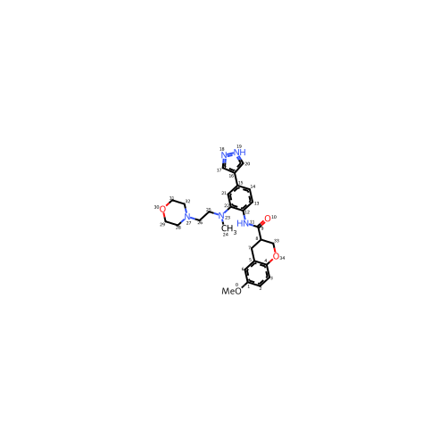 COc1ccc2c(c1)CC(C(=O)Nc1ccc(-c3cn[nH]c3)cc1N(C)CCN1CCOCC1)CO2